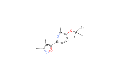 [CH2]c1c(C)noc1-c1ccc(O[Si](C)(C)C(C)(C)C)c(C)n1